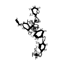 C#CCN1CCC(C(=O)NOC2CCCCO2)(S(=O)(=O)c2ccc(Oc3ccc(OC(F)(F)F)cc3)cc2)CC1